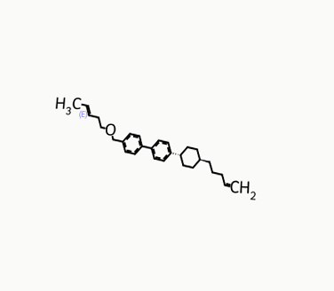 C=CCCC[C@H]1CC[C@H](c2ccc(-c3ccc(COCC/C=C/C)cc3)cc2)CC1